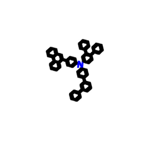 c1ccc(-c2cccc(-c3ccc(N(c4ccc(-c5cc6ccccc6c6ccccc56)cc4)c4ccc(-c5ccccc5)c(-c5ccccc5)c4)cc3)c2)cc1